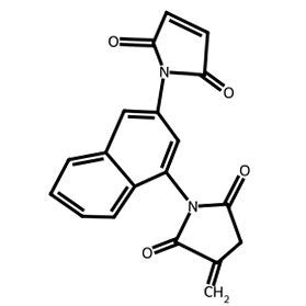 C=C1CC(=O)N(c2cc(N3C(=O)C=CC3=O)cc3ccccc23)C1=O